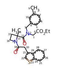 CCOC(=O)CN(Cc1cccc(C)c1)C(=O)C1(C)CCN1C(=O)Cc1csc2ccccc12